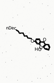 CCCCCCCCCCCCCCCCCCOc1ccc(C(=O)c2ccccc2)c(OO)c1